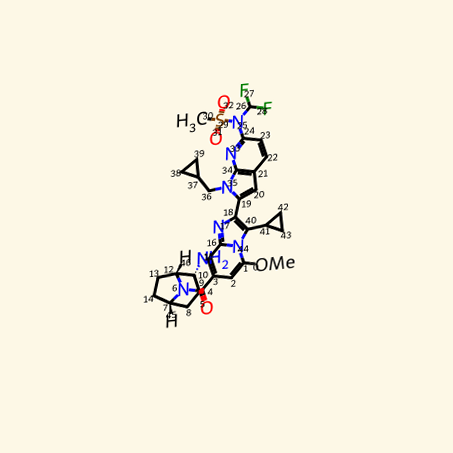 COc1cc(C(=O)N2[C@@H]3CC[C@@H](N)[C@H]2CC3)cc2nc(-c3cc4ccc(N(C(F)F)S(C)(=O)=O)nc4n3CC3CC3)c(C3CC3)n12